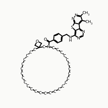 Cc1nnc2sc3c(NCc4ccc(C(=O)N5CCCCCCCCCCCCCCCCCCCCCCCCCCCCC6(COC6)C5)cc4)ncnc3c2c1C